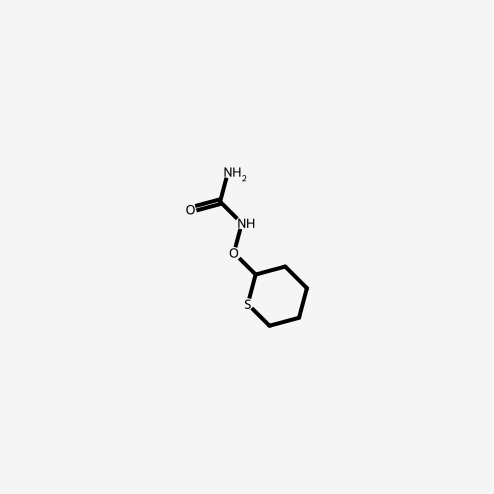 NC(=O)NOC1CCCCS1